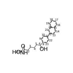 O=C(CCCCC(O)c1ccc(-c2ccc3ccccc3c2)cc1)NO